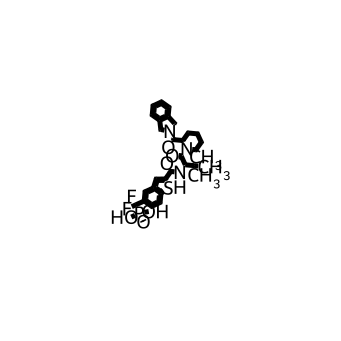 CC(C)(C)C(NC(=O)c1cc2cc(C(F)(F)P(=O)(O)O)ccc2s1)C(=O)N1CCCCC1C(=O)N1Cc2ccccc2C1